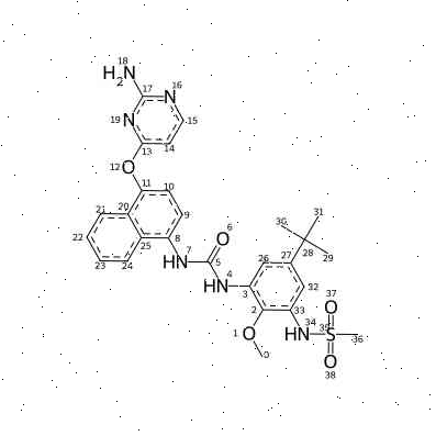 COc1c(NC(=O)Nc2ccc(Oc3ccnc(N)n3)c3ccccc23)cc(C(C)(C)C)cc1NS(C)(=O)=O